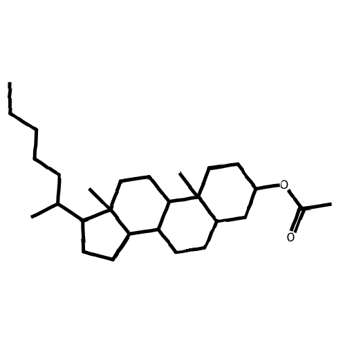 CCCCCC(C)C1CCC2C3CCC4CC(OC(C)=O)CCC4(C)C3CCC12C